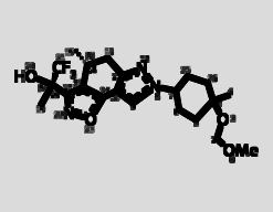 COCOC1(C)CCC(n2cc3c(n2)C[C@@H](C)c2c([C@](C)(O)C(F)(F)F)noc2-3)CC1